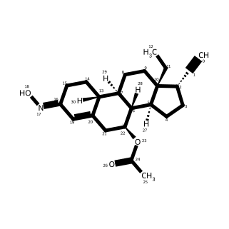 C#C[C@@H]1CC[C@H]2[C@H]3[C@H](CC[C@]12CC)[C@H]1CCC(=NO)C=C1C[C@@H]3OC(C)=O